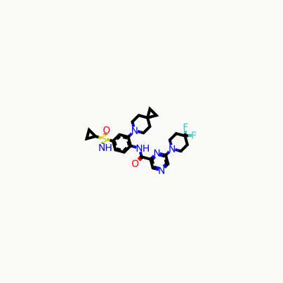 N=S(=O)(c1ccc(NC(=O)c2cncc(N3CCC(F)(F)CC3)n2)c(N2CCC3(CC2)CC3)c1)C1CC1